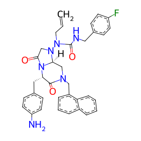 C=CCN(C(=O)NCc1ccc(F)cc1)N1CC(=O)N2[C@@H](Cc3ccc(N)cc3)C(=O)N(Cc3cccc4ccccc34)C[C@@H]21